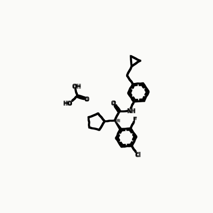 O=C(Nc1cccc(CC2CC2)c1)[C@@H](c1ccc(Cl)cc1F)C1CCCC1.O=C(O)O